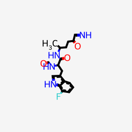 CC(CCC(=O)C=N)NC(=O)C(Cc1c[nH]c2c(F)cccc12)NC=O